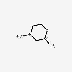 [CH2]N1CCO[C@@H](C)C1